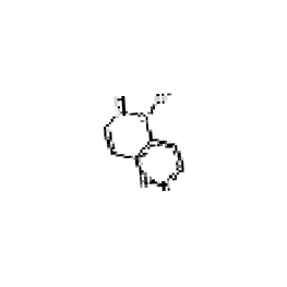 [O-][S+]1NC=Cc2nnccc21